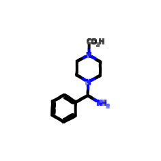 NC(c1ccccc1)N1CCN(C(=O)O)CC1